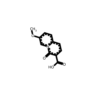 COc1ccc2ccc(C(=O)O)c(=O)n2c1